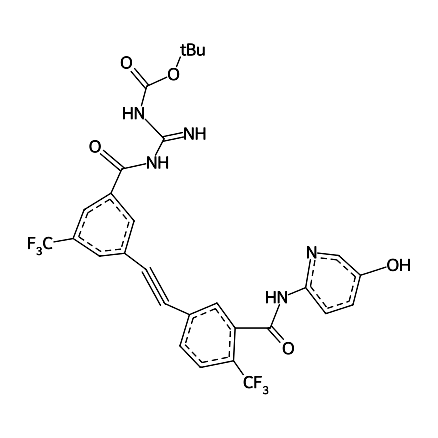 CC(C)(C)OC(=O)NC(=N)NC(=O)c1cc(C#Cc2ccc(C(F)(F)F)c(C(=O)Nc3ccc(O)cn3)c2)cc(C(F)(F)F)c1